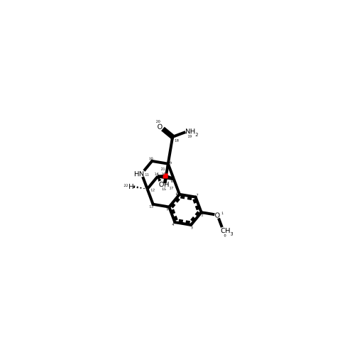 COc1ccc2c(c1)C13CCN[C@H](C2)[C@]1(O)CC(C(N)=O)C3